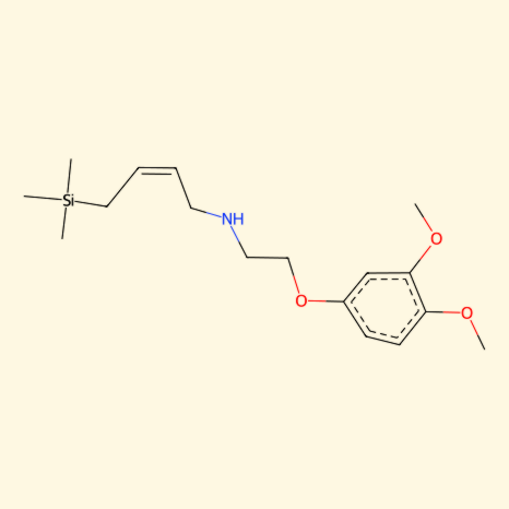 COc1ccc(OCCNC/C=C\C[Si](C)(C)C)cc1OC